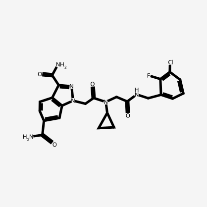 NC(=O)c1ccc2c(C(N)=O)nn(CC(=O)N(CC(=O)NCc3cccc(Cl)c3F)C3CC3)c2c1